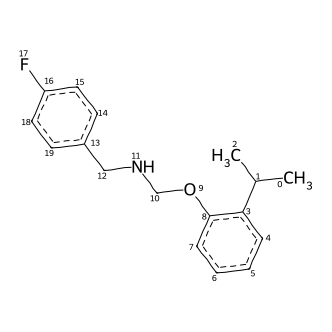 CC(C)c1ccccc1OCNCc1ccc(F)cc1